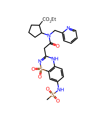 CCOC(=O)C1CCCC1N(Cc1ccccn1)C(=O)CC1=NS(=O)(=O)c2cc(NS(C)(=O)=O)ccc2N1